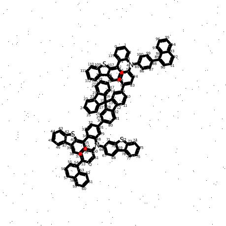 c1ccc(N(c2ccc(-c3ccc4c(c3)C3(c5ccccc5-c5ccccc53)c3cc(-c5ccc(-c6cccc7c6sc6ccccc67)c(N(c6ccc(-c7cccc8ccccc78)cc6)c6ccc7c(c6)sc6ccccc67)c5)ccc3-4)cc2)c2ccc(-c3cccc4ccccc34)cc2)c(-c2cccc3c2sc2ccccc23)c1